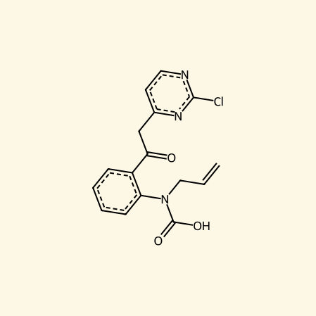 C=CCN(C(=O)O)c1ccccc1C(=O)Cc1ccnc(Cl)n1